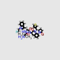 CC(C)(N)C(=O)N[C@H](Cc1cn(CCF)c2ccccc12)C(=O)NC1Cc2cccc(N3CCCC3=O)c2N(Cc2ccsc2)C1=O